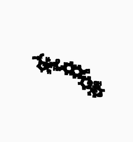 CN(C)C1CC[C@@H]2[C@H](C(=O)Nc3cc4cc(C5CCN([C@]6(C)COC[C@@H]6O)CC5)c(Cl)cc4cn3)[C@H]12